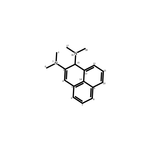 CN(C)C1=Cc2cccc3cccc(c23)C1N(C)C